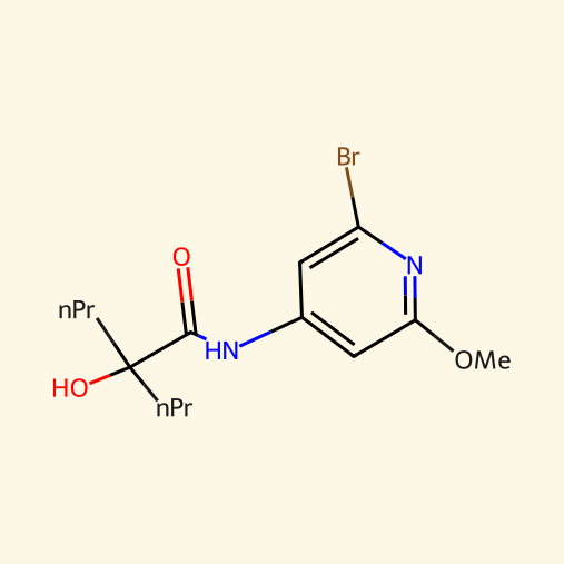 CCCC(O)(CCC)C(=O)Nc1cc(Br)nc(OC)c1